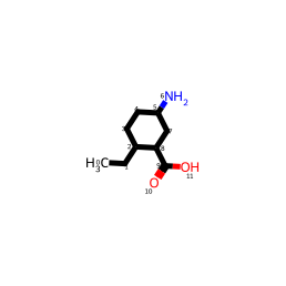 CCC1CCC(N)CC1C(=O)O